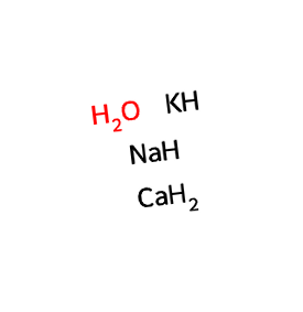 O.[CaH2].[KH].[NaH]